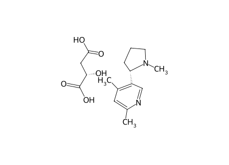 Cc1cc(C)c([C@@H]2CCCN2C)cn1.O=C(O)C[C@H](O)C(=O)O